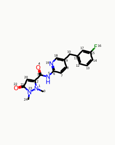 Cn1c(C(=O)Nc2ccc(Cc3cccc(F)c3)cn2)cc(=O)n1C